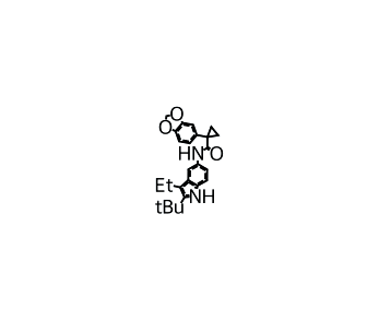 CCc1c(C(C)(C)C)[nH]c2ccc(NC(=O)C3(c4ccc5c(c4)OCO5)CC3)cc12